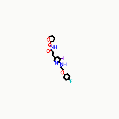 O=C(/C=C/c1cnc(NCCOc2ccc(F)cc2)c(I)c1)NOC1CCCCO1